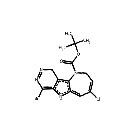 CC(C)(C)OC(=O)N1CC=C(Cl)C=c2[nH]c3c(c21)CN=NC=3Br